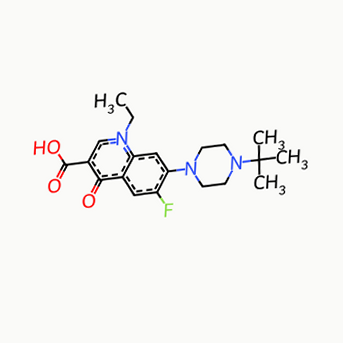 CCn1cc(C(=O)O)c(=O)c2cc(F)c(N3CCN(C(C)(C)C)CC3)cc21